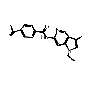 C=C(C)c1ccc(C(=O)Nc2cc3c(cn2)c(C)cn3CC)cc1